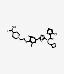 Cc1cc(-c2nnc(N(CC3CCC3)C(=O)c3ccccc3Cl)s2)cc(C)c1OCCN1CCC(C(=O)O)CC1